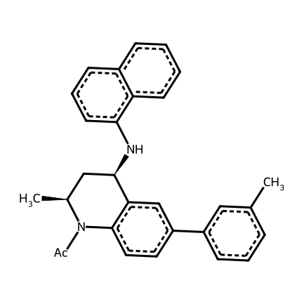 CC(=O)N1c2ccc(-c3cccc(C)c3)cc2[C@H](Nc2cccc3ccccc23)C[C@@H]1C